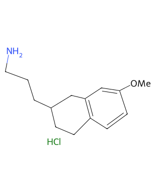 COc1ccc2c(c1)CC(CCCN)CC2.Cl